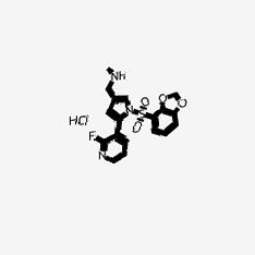 CNCc1cc(-c2cccnc2F)n(S(=O)(=O)c2cccc3c2OCO3)c1.Cl